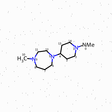 CNN1CCC(N2CCCN(C)CC2)CC1